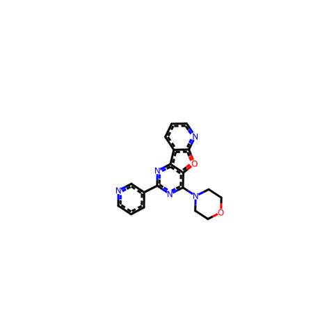 c1cncc(-c2nc(N3CCOCC3)c3oc4ncccc4c3n2)c1